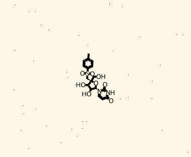 Cc1ccc(S(=O)(=O)C[C@@]2(CO)O[C@H](n3ccc(=O)[nH]c3=O)C(O)C2O)cc1